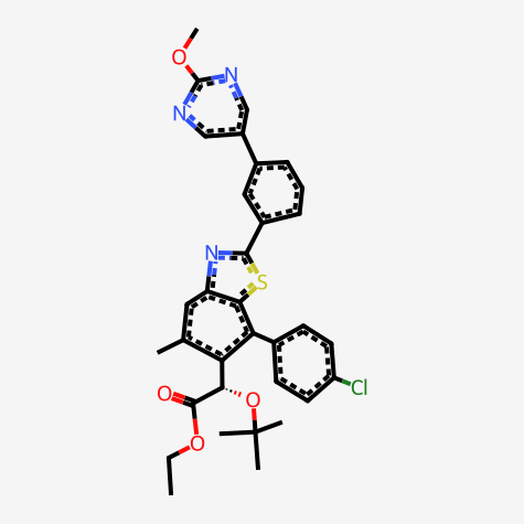 CCOC(=O)[C@@H](OC(C)(C)C)c1c(C)cc2nc(-c3cccc(-c4cnc(OC)nc4)c3)sc2c1-c1ccc(Cl)cc1